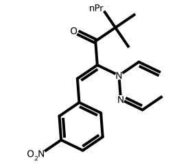 C=CN(/N=C\C)/C(=C\c1cccc([N+](=O)[O-])c1)C(=O)C(C)(C)CCC